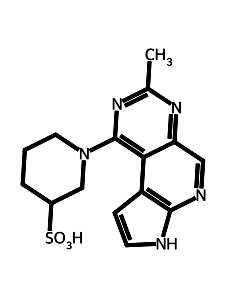 Cc1nc(N2CCCC(S(=O)(=O)O)C2)c2c(cnc3[nH]ccc32)n1